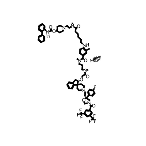 Cc1cc(C(=O)N(C)CCCN(C)C(=O)CO[C@H]2Cc3ccccc3C23CCN(CC[C@@]2(c4ccc(F)cc4)CN(C(=O)c4cc(C(F)(F)F)cc(C(F)(F)F)c4)CO2)CC3)ccc1NCCCCCC(=O)N(C)CCN1CCC(OC(=O)Nc2ccccc2-c2ccccc2)CC1.Cl.Cl.Cl